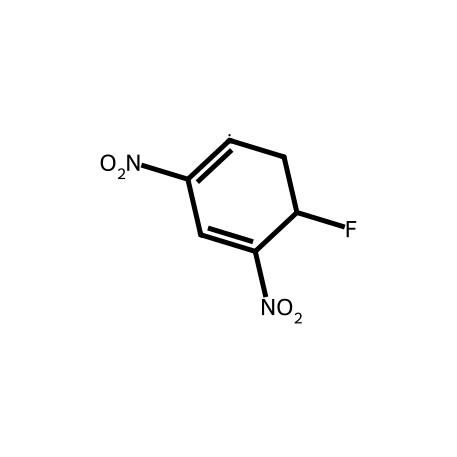 O=[N+]([O-])C1=[C]CC(F)C([N+](=O)[O-])=C1